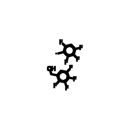 OCc1cc(F)c(F)c(F)c1F.[CH2]c1c(F)cc(F)c(F)c1F